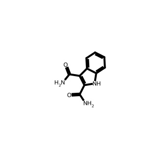 NC(=O)c1[nH]c2ccccc2c1C(N)=O